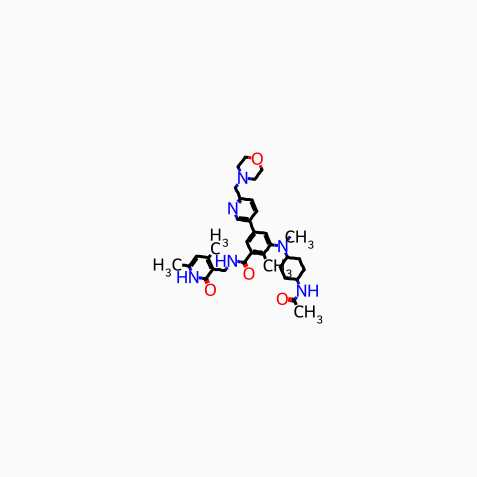 CC(=O)NC1CCC(N(C)c2cc(-c3ccc(CN4CCOCC4)nc3)cc(C(=O)NCc3c(C)cc(C)[nH]c3=O)c2C)CC1